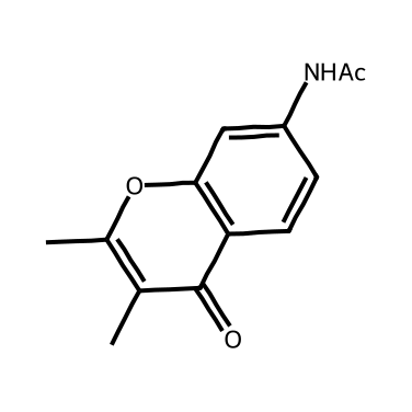 CC(=O)Nc1ccc2c(=O)c(C)c(C)oc2c1